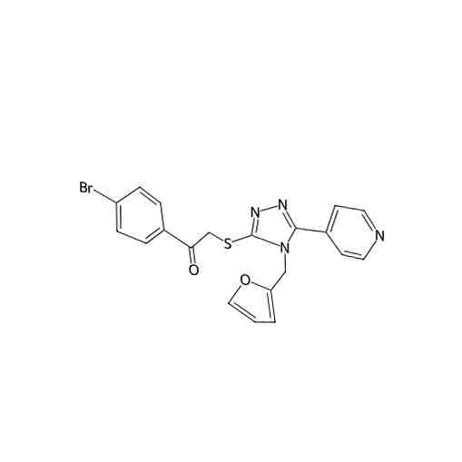 O=C(CSc1nnc(-c2ccncc2)n1Cc1ccco1)c1ccc(Br)cc1